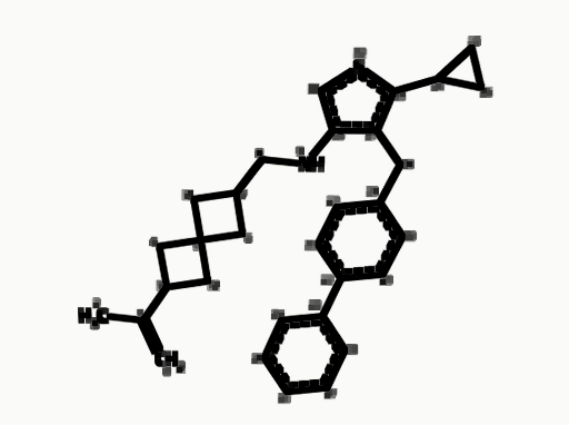 C=C(C)C1CC2(CC(CNc3csc(C4CC4)c3Cc3ccc(-c4ccccc4)cc3)C2)C1